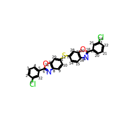 Clc1cccc(-c2nc3ccc(Sc4ccc5nc(-c6cccc(Cl)c6)oc5c4)cc3o2)c1